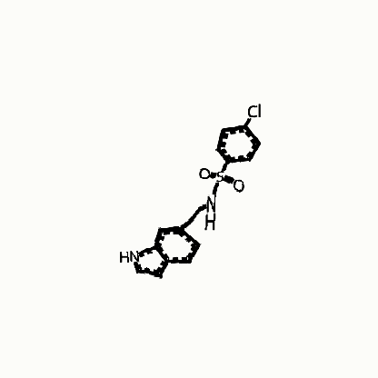 O=S(=O)(NCc1ccc2cc[nH]c2c1)c1ccc(Cl)cc1